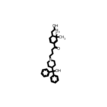 CC1(C)C=C(C(=O)CCCN2CCC(C(O)(c3ccccc3)c3ccccc3)CC2)C=CC1CCO